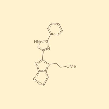 COCCn1c(-c2c[nH]c(-c3ccccc3)n2)nc2ccccc21